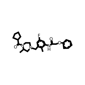 Cc1c(CN2CCN(C(=O)C3CCCC3)C(C)C2)cc(F)cc1NC(=O)COc1ccccc1